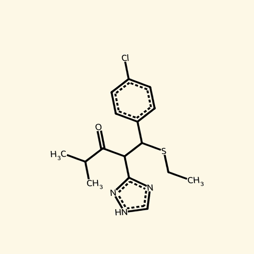 CCSC(c1ccc(Cl)cc1)C(C(=O)C(C)C)c1nc[nH]n1